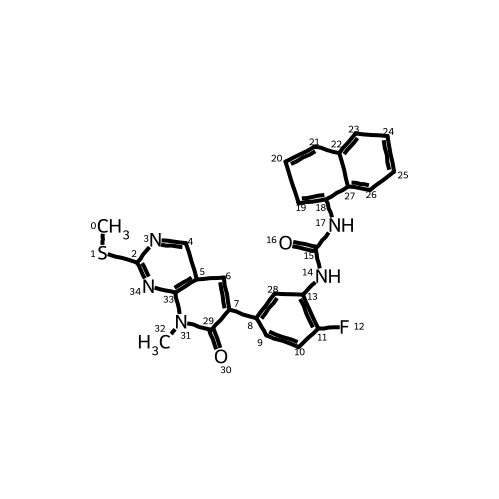 CSc1ncc2cc(-c3ccc(F)c(NC(=O)Nc4cccc5ccccc45)c3)c(=O)n(C)c2n1